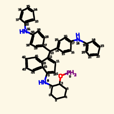 POC1CCCCC1Nc1ccc(C(c2ccc(Nc3ccccc3)cc2)c2ccc(Nc3ccccc3)cc2)c2ccccc12